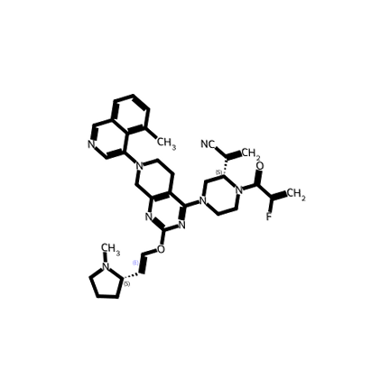 C=C(F)C(=O)N1CCN(c2nc(O/C=C/[C@@H]3CCCN3C)nc3c2CCN(c2cncc4cccc(C)c24)C3)C[C@@H]1C(=C)C#N